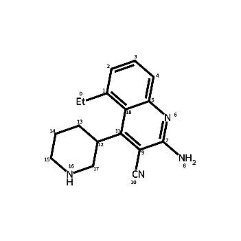 CCc1cccc2nc(N)c(C#N)c(C3CCCNC3)c12